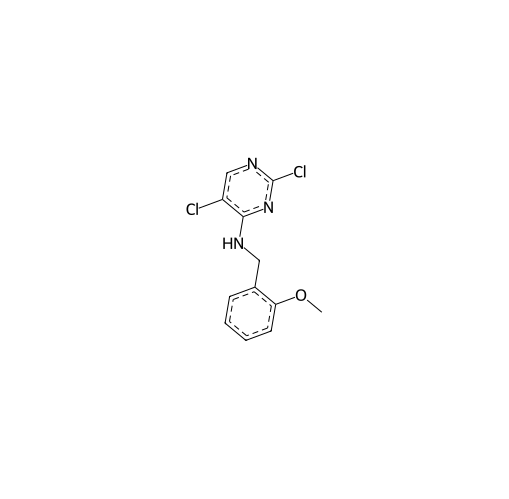 COc1ccccc1CNc1nc(Cl)ncc1Cl